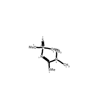 COP(=S)(N=C(SC)N(C)C)OC